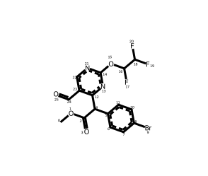 COC(=O)C(c1ccc(Br)cc1)c1nc(OC(F)C(F)F)ncc1C=O